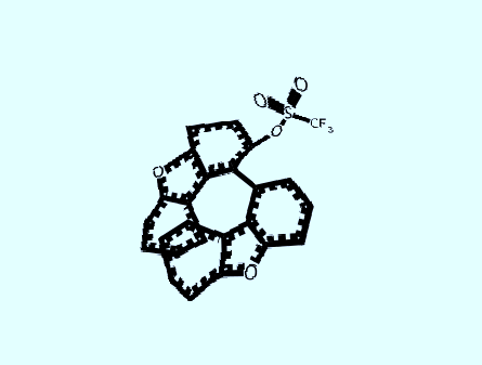 O=S(=O)(Oc1ccc2oc3ccccc3c2c1-c1cccc2oc3ccccc3c12)C(F)(F)F